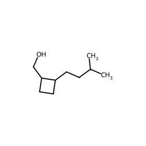 C[C](C)CCC1CCC1CO